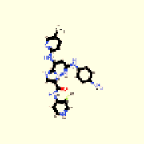 Cc1ccc(Nc2cc(NC3CCC(N)CC3)nn3c(C(=O)Nc4ccncc4F)cnc23)nc1